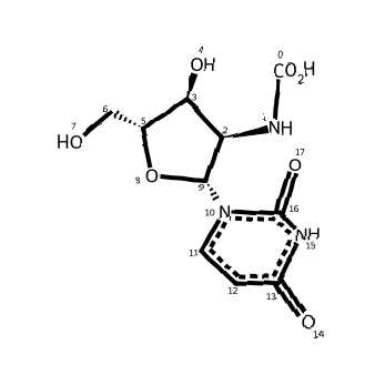 O=C(O)N[C@@H]1[C@H](O)[C@@H](CO)O[C@H]1n1ccc(=O)[nH]c1=O